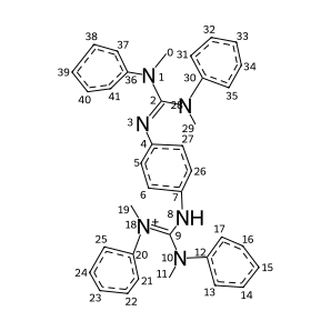 CN(C(=Nc1ccc(NC(N(C)c2ccccc2)=[N+](C)c2ccccc2)cc1)N(C)c1ccccc1)c1ccccc1